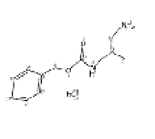 CC(CN)NC(=O)OCc1ccccc1.Cl